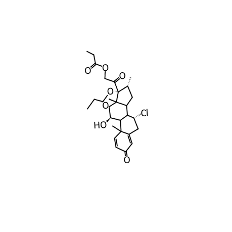 CCC(=O)OCC(=O)[C@@]1(OC(=O)CC)[C@H](C)CC2C3C([C@@H](O)CC21C)C1(C)C=CC(=O)C=C1C[C@H]3Cl